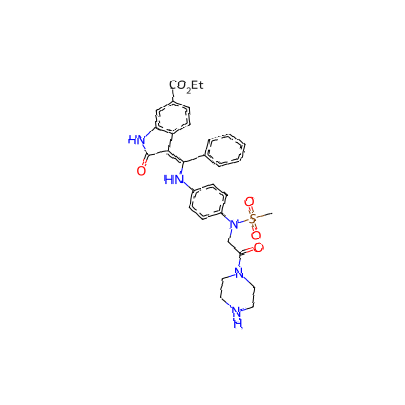 CCOC(=O)c1ccc2c(c1)NC(=O)/C2=C(\Nc1ccc(N(CC(=O)N2CCNCC2)S(C)(=O)=O)cc1)c1ccccc1